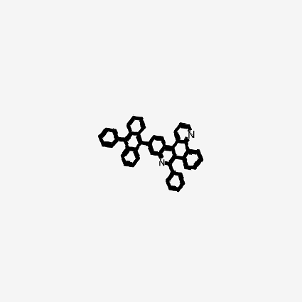 c1ccc(-c2c3ccccc3c(-c3ccc4c(c3)nc(-c3ccccc3)c3c5ccccc5c5ncccc5c43)c3ccccc23)cc1